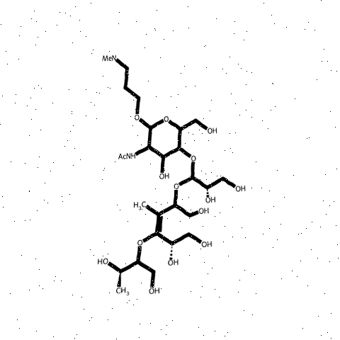 CNCCCOC1OC(CO)C(OC(OC(CO)/C(C)=C(/OC(CO)[C@@H](C)O)[C@@H](O)CO)[C@@H](O)CO)C(O)C1NC(C)=O